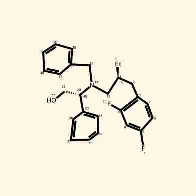 CC[C@@H](Cc1ccc(F)cc1F)CN(Cc1ccccc1)[C@@H](CO)c1ccccc1